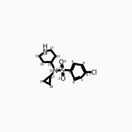 O=S(=O)(c1ccc(Cl)cc1)N(C1CCNCC1)C1CC1